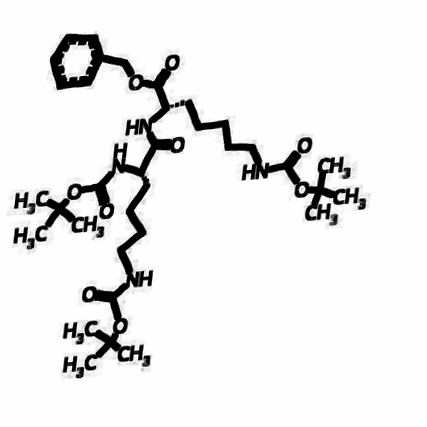 CC(C)(C)OC(=O)NCCCCC[C@H](NC(=O)[C@H](CCCCNC(=O)OC(C)(C)C)NC(=O)OC(C)(C)C)C(=O)OCc1ccccc1